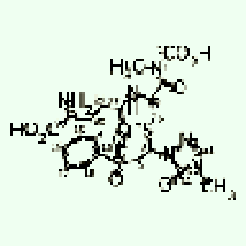 CN(C(=O)O)C(=O)[C@H](CSC(CS(=O)(=O)c1ccccc1)n1ncn(C)c1=O)NC(=O)CC[C@H](N)C(=O)O